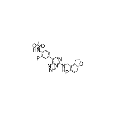 CS(=O)(=O)Nc1ccc(-c2cnc(NCc3c(F)ccc4c3CCO4)n3cnnc23)cc1F